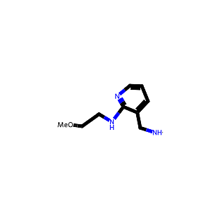 COCCNc1ncccc1C[NH]